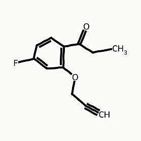 C#CCOc1cc(F)ccc1C(=O)CC